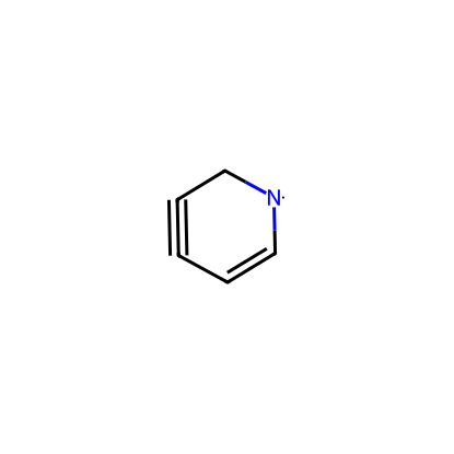 C1#CC[N]C=C1